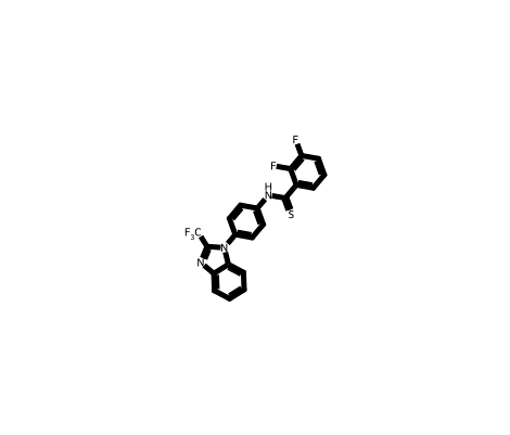 Fc1cccc(C(=S)Nc2ccc(-n3c(C(F)(F)F)nc4ccccc43)cc2)c1F